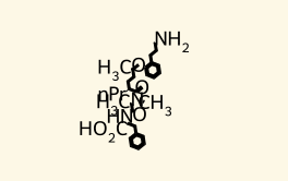 CCC[C@H](CC[C@@H](C)Oc1ccccc1CCCN)C(=O)N(C)[C@H](C)C(=O)N[C@H](Cc1ccccc1)C(=O)O